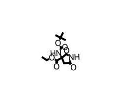 CCOC(=O)C1(NC(=O)OC(C)(C)C)CC(=O)NC1=O